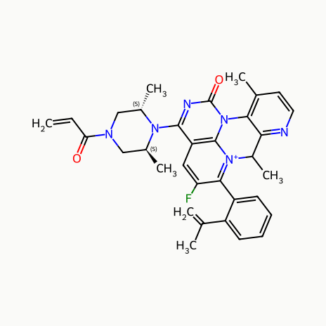 C=CC(=O)N1C[C@H](C)N(c2nc(=O)n3c4c2cc(F)c(-c2ccccc2C(=C)C)[n+]4C(C)c2nccc(C)c2-3)[C@@H](C)C1